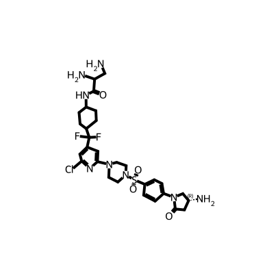 NCC(N)C(=O)NC1CCC(C(F)(F)c2cc(Cl)nc(N3CCN(S(=O)(=O)c4ccc(N5C[C@H](N)CC5=O)cc4)CC3)c2)CC1